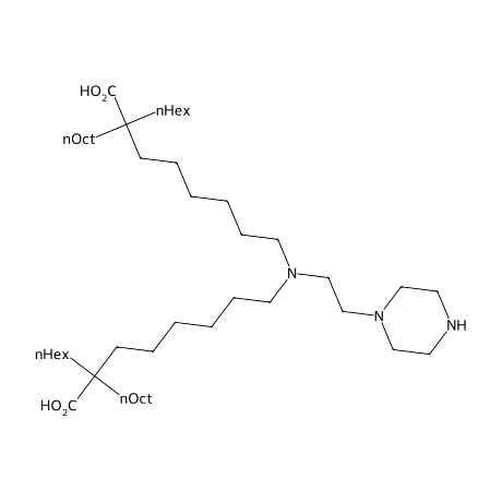 CCCCCCCCC(CCCCCC)(CCCCCCN(CCCCCCC(CCCCCC)(CCCCCCCC)C(=O)O)CCN1CCNCC1)C(=O)O